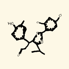 Cc1cc(C(CC=O)c2nc(-c3ccc(Cl)cc3Cl)oc2C(C)C)ccc1O